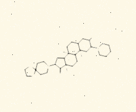 C[C@]12CC(N3CCCCC3)C(O)CC1CC[C@@H]1[C@H]2CC[C@]2(C)C(O)C(N3CCC4(CC3)OCCO4)C[C@@H]12